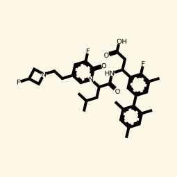 Cc1cc(C)c(-c2cc(C)c(F)c(C(CC(=O)O)NC(=O)C(CC(C)C)n3cc(CCN4CC(F)C4)cc(F)c3=O)c2)c(C)c1